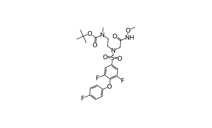 CONC(=O)CN(CCN(C)C(=O)OC(C)(C)C)S(=O)(=O)c1cc(F)c(Oc2ccc(F)cc2)c(F)c1